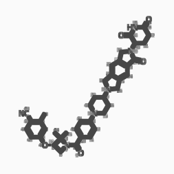 Cc1cc(O[C@H]2CN(C(=O)c3ccc(N4CCC(N5Cc6cc7c(cc6C5)C(=O)N(C5CCC(=O)NC5=O)C7)CC4)cc3)C2(C)C)ccc1C#N